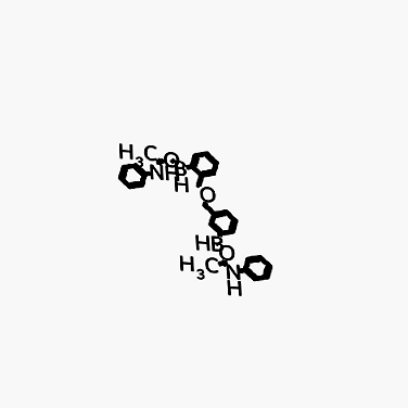 CC(Nc1ccccc1)OBc1cccc(COCc2ccccc2BOC(C)Nc2ccccc2)c1